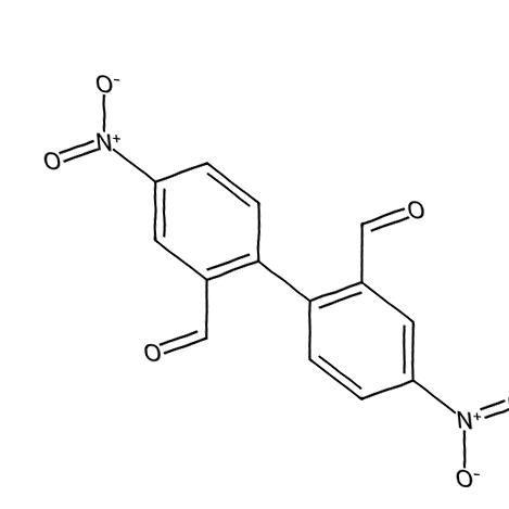 O=Cc1cc([N+](=O)[O-])ccc1-c1ccc([N+](=O)[O-])cc1C=O